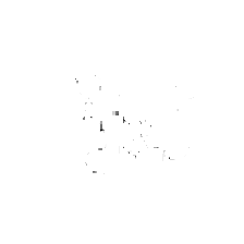 O=CC(Cc1ccccc1)N[C@@H](Cc1ccccc1)C(Cc1ccccc1)(NC(=O)O)N[C@@H](Cc1ccccc1)C(=O)NC(=O)O